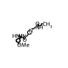 CC=CC(=O)NCCCN1CCC(CNC(=O)c2n[nH]c3ccc(OC)cc23)CC1